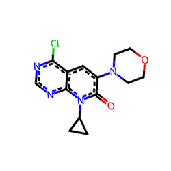 O=c1c(N2CCOCC2)cc2c(Cl)ncnc2n1C1CC1